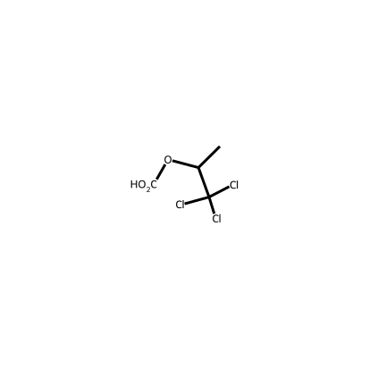 CC(OC(=O)O)C(Cl)(Cl)Cl